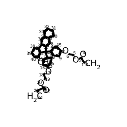 C=CC(=O)OCCOc1ccc(C2(c3ccc(OCCOC(=O)C=C)cc3)c3cc4ccccc4cc3-c3cccc(C)c32)cc1